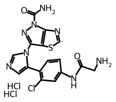 Cl.Cl.NCC(=O)Nc1ccc(-c2cncn2-c2nn(C(N)=O)c3n[c]sc23)c(Cl)c1